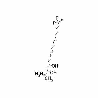 C[C@H](N)C(O)CC(O)CCCCCCCCCCCCC(F)(F)F